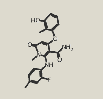 Cc1ccc(Nc2c(C(N)=O)c(Oc3cccc(O)c3C)cc(=O)n2C)c(F)c1